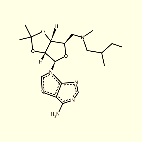 CCC(C)CN(C)C[C@H]1O[C@@H](n2cnc3c(N)ncnc32)[C@@H]2OC(C)(C)O[C@@H]21